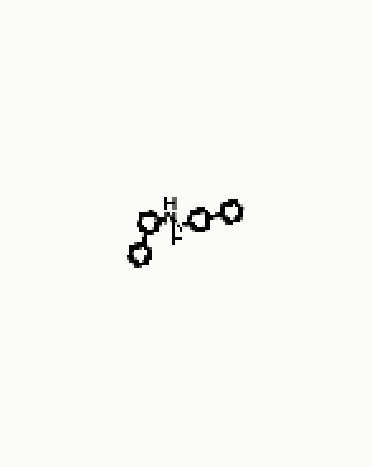 c1ccc(-c2ccc(NNc3cccc(-c4ccccc4)c3)cc2)cc1